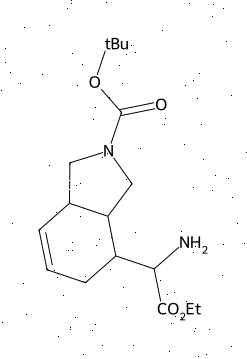 CCOC(=O)C(N)C1CC=CC2CN(C(=O)OC(C)(C)C)CC21